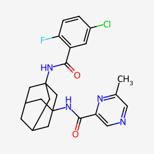 Cc1cncc(C(=O)NC23CC4CC(C2)CC(NC(=O)c2cc(Cl)ccc2F)(C4)C3)n1